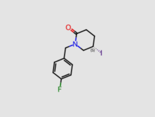 O=C1CC[C@H](I)CN1Cc1ccc(F)cc1